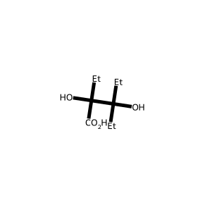 CCC(O)(CC)C(O)(CC)C(=O)O